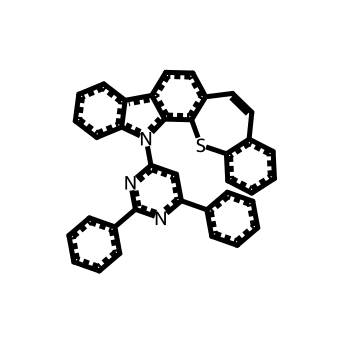 C1=Cc2ccc3c4ccccc4n(-c4cc(-c5ccccc5)nc(-c5ccccc5)n4)c3c2Sc2ccccc21